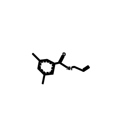 C=CCNC(=O)c1cc(C)cc(C)c1